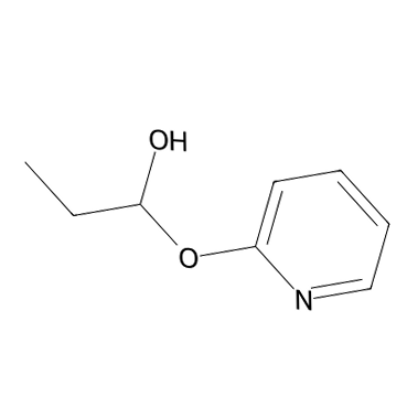 CCC(O)Oc1ccccn1